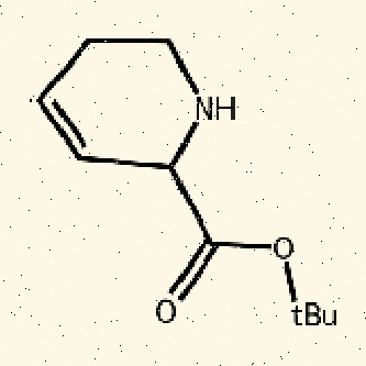 CC(C)(C)OC(=O)C1C=[C]CCN1